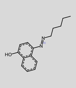 CCCCC/N=N/c1ccc(O)c2ccccc12